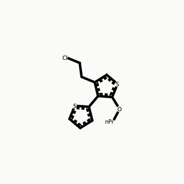 CCCOc1s[c]c(CCCl)c1-c1cccs1